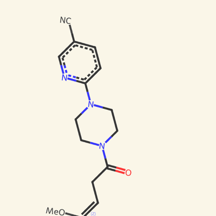 CO/C=C\CC(=O)N1CCN(c2ccc(C#N)cn2)CC1